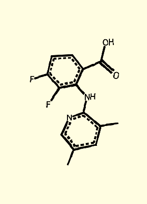 Cc1cnc(Nc2c(C(=O)O)ccc(F)c2F)c(C)c1